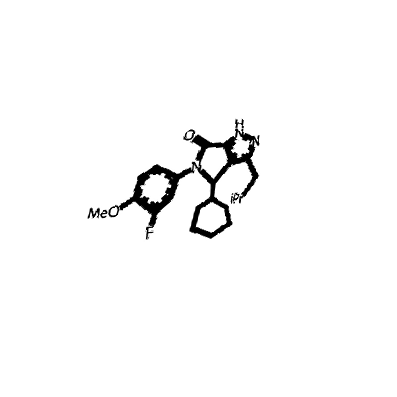 COc1ccc(N2C(=O)c3[nH]nc(CC(C)C)c3C2C2CCCCC2)cc1F